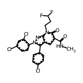 CNC(=O)c1cc2c(-c3ccc(Cl)cc3)n(-c3ccc(Cl)cc3Cl)nc2n(CCC(F)F)c1=O